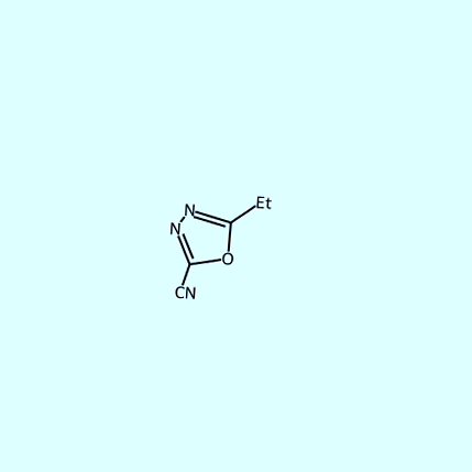 CCc1nnc(C#N)o1